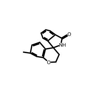 Cc1ccc2c(c1)OCCC21NC(=O)c2ccccc21